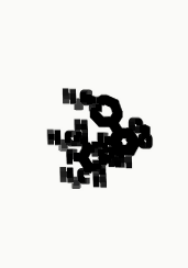 CNC1NC(Nc2cc3c(c(C4=CCN(C)CCC4)c2F)OCO3)NC(C)C1F